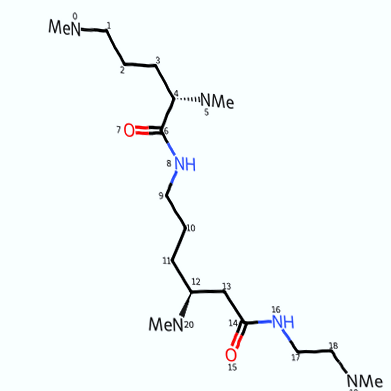 CNCCC[C@H](NC)C(=O)NCCC[C@@H](CC(=O)NCCNC)NC